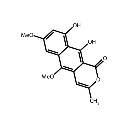 COc1cc(O)c2c(O)c3c(=O)oc(C)cc3c(OC)c2c1